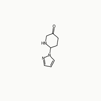 O=C1CCC(n2cccn2)NC1